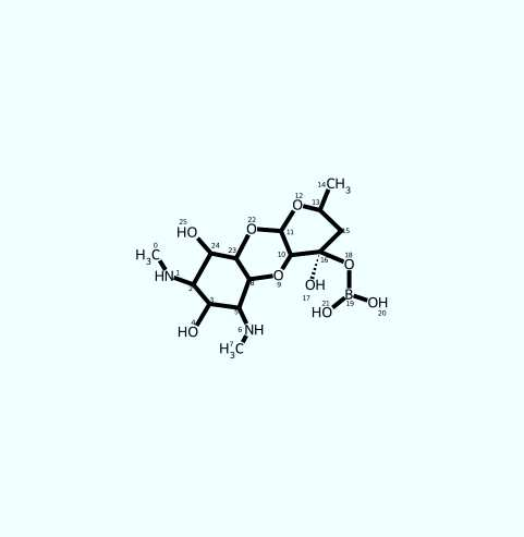 CNC1C(O)C(NC)C2OC3C(OC(C)C[C@@]3(O)OB(O)O)OC2C1O